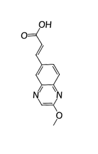 COc1cnc2cc(/C=C/C(=O)O)ccc2n1